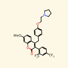 COc1ccc2c(Cc3ccc(OCCN4CCCC4)cc3)c(-c3ccc(C(F)(F)F)cc3C(F)(F)F)c(=O)oc2c1